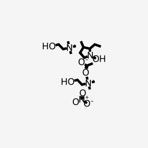 CC(=O)[O-].CCC1C(C)CCN1O.C[N+](C)(C)CCO.C[N+](C)(C)CCO.O=[N+]([O-])[O-]